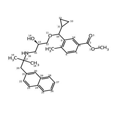 COC(=O)c1ccc(C)c(C(OC[C@H](O)CNC(C)(C)Cc2ccc3ccccc3c2)C2CC2)c1